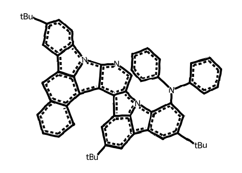 CC(C)(C)c1ccc2c(c1)c1cc3ccccc3c3c4c5c6cc(C(C)(C)C)cc7c8cc(C(C)(C)C)cc(N(c9ccccc9)c9ccccc9)c8n(c5cnc4n2c13)c76